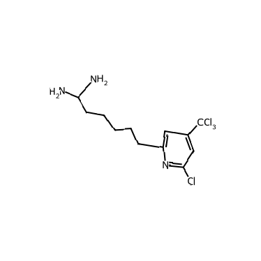 NC(N)CCCCCc1cc(C(Cl)(Cl)Cl)cc(Cl)n1